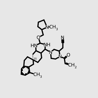 C=CC(=O)N1CCN(C2NC(OCC3CCCN3C)NC3C[C@]4(CCc5cccc(C)c5C4)CCC32)CC1CC#N